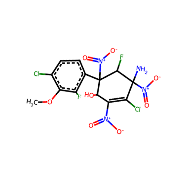 COc1c(Cl)ccc(C2([N+](=O)[O-])C(O)C([N+](=O)[O-])=C(Cl)C(N)([N+](=O)[O-])C2F)c1F